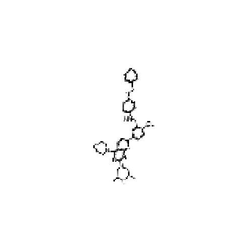 COc1ccc(-c2ccc3c(N4CCOCC4)nc(N4CC(C)OC(C)C4)nc3n2)cc1CNc1ccc(OCc2ccccc2)cc1